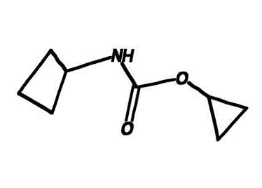 O=C(NC1CCC1)OC1CC1